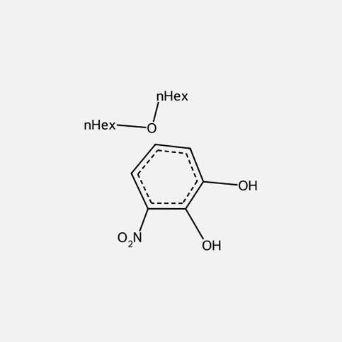 CCCCCCOCCCCCC.O=[N+]([O-])c1cccc(O)c1O